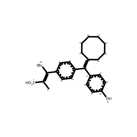 CC(C(=O)O)=C(c1ccc(C(=C2CCCCCCC2)c2ccc(O)cc2)cc1)C(C)(C)C